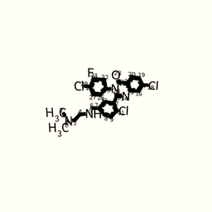 CN(C)CCNCc1ccc(Cl)c(-c2nc3cc(Cl)ccc3c(=O)n2-c2ccc(Cl)c(F)c2)c1